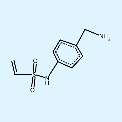 C=CS(=O)(=O)Nc1ccc(CN)cc1